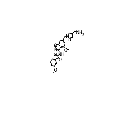 COc1cccc(S(=O)(=O)Nc2noc3cc(Cn4cc(CN)cn4)cc(OC)c23)c1